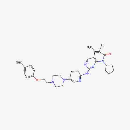 CC(=O)c1c(C)c2cnc(Nc3ccc(N4CCN(CCOc5ccc(C=O)cc5)CC4)cn3)nc2n(C2CCCC2)c1=O